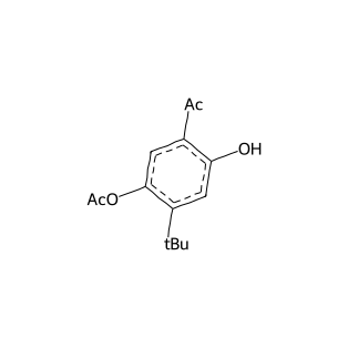 CC(=O)Oc1cc(C(C)=O)c(O)cc1C(C)(C)C